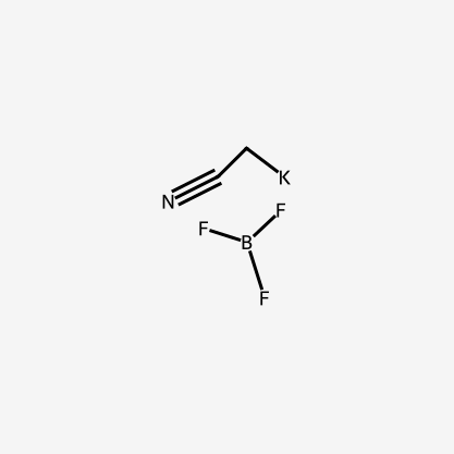 FB(F)F.N#C[CH2][K]